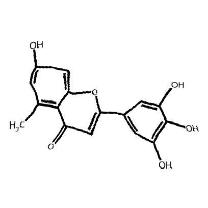 Cc1cc(O)cc2oc(-c3cc(O)c(O)c(O)c3)cc(=O)c12